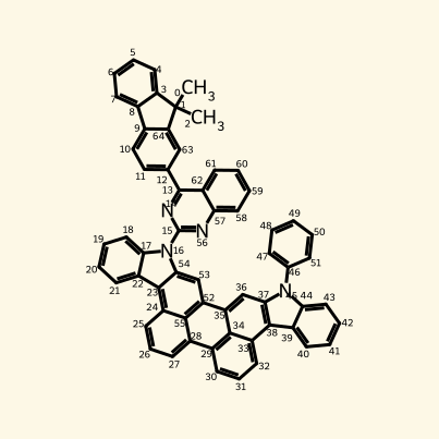 CC1(C)c2ccccc2-c2ccc(-c3nc(-n4c5ccccc5c5c6cccc7c8cccc9c8c(cc8c9c9ccccc9n8-c8ccccc8)c(cc54)c76)nc4ccccc34)cc21